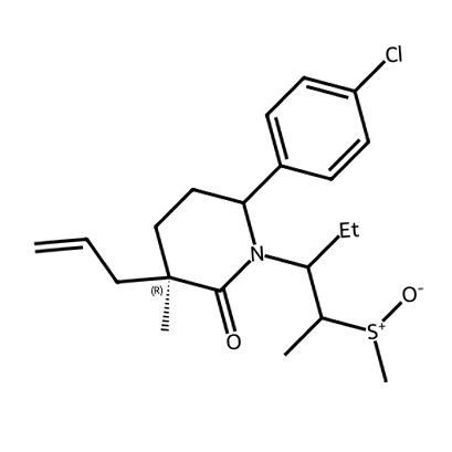 C=CC[C@@]1(C)CCC(c2ccc(Cl)cc2)N(C(CC)C(C)[S+](C)[O-])C1=O